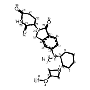 CCOC1CN([C@H]2CCCC[C@@H]2N(C)c2ccc3c(c2)CN(C2CCC(=O)NC2=O)C3=O)C1